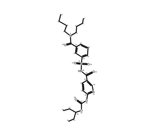 CCCCN(CCCC)C(=O)c1cccc(S(=O)(=O)NC(=O)c2ccc(OC(=O)OC(CC)CC)nc2)c1